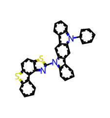 c1ccc(-n2c3ccccc3c3cc4c(cc32)c2ccccc2n4-c2nc3c(ccc4sc5ccccc5c43)s2)cc1